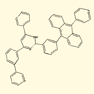 C1=C(c2ccccc2)NC(c2cccc(-c3c4ccccc4c(-c4ccccc4)c4ccccc34)c2)N=C1c1cccc(-c2cccnc2)c1